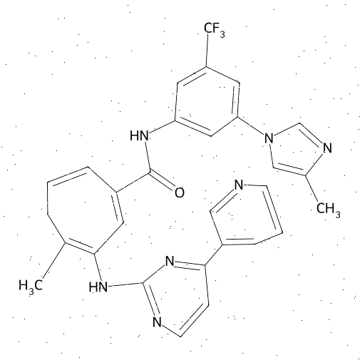 CC1=C(Nc2nccc(-c3cccnc3)n2)C=C(C(=O)Nc2cc(-n3cnc(C)c3)cc(C(F)(F)F)c2)C=CC1